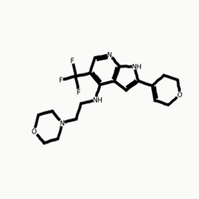 FC(F)(F)c1cnc2[nH]c(C3=CCOCC3)cc2c1NCCN1CCOCC1